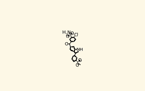 CS(=O)(=O)c1cccc(-c2c[nH]c3cc(C(=O)c4ccc(Cl)c(S(N)(=O)=O)c4)ccc23)c1